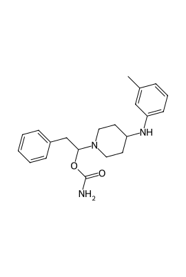 Cc1cccc(NC2CCN(C(Cc3ccccc3)OC(N)=O)CC2)c1